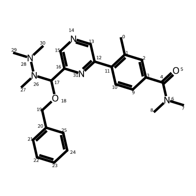 Cc1cc(C(=O)N(C)C)ccc1-c1cncc(C(OCc2ccccc2)N(C)N(C)C)n1